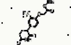 CC(C)(C)OC(=O)COc1ccc(C2CCC(=O)NC2=O)cc1C(F)(F)F